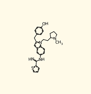 CN1CCCC1CCn1c(Cc2ccc(O)cc2)cc2cc(NC(=N)c3cccs3)ccc21